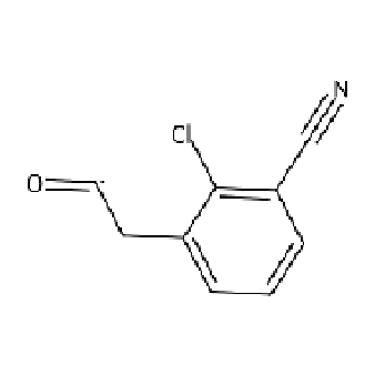 N#Cc1cccc(C[C]=O)c1Cl